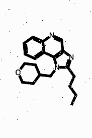 CCCCc1nc2cnc3ccccc3c2n1CC1CCOCC1